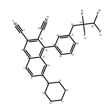 N#Cc1cc2ccc(C3CCCCC3)cc2c(-c2cccc(CC(F)(F)C(F)F)c2)c1C#N